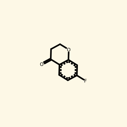 O=C1CCOc2cc(F)ccc21